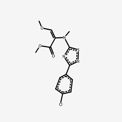 COC=C(C(=O)OC)N(C)c1nc(-c2ccc(Cl)cc2)ns1